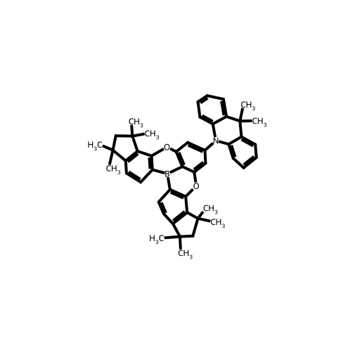 CC1(C)CC(C)(C)c2c1ccc1c2Oc2cc(N3c4ccccc4C(C)(C)c4ccccc43)cc3c2B1c1ccc2c(c1O3)C(C)(C)CC2(C)C